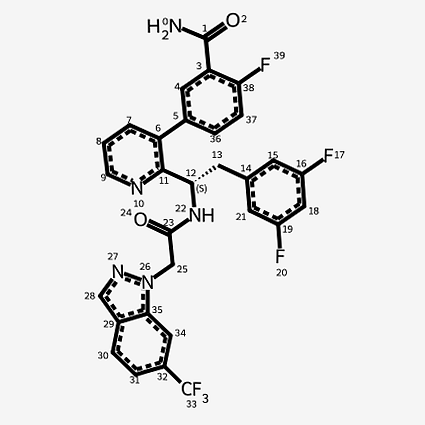 NC(=O)c1cc(-c2cccnc2[C@H](Cc2cc(F)cc(F)c2)NC(=O)Cn2ncc3ccc(C(F)(F)F)cc32)ccc1F